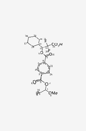 COC(OC(=O)c1ccc(C(=O)OC(C2CCCCC2)C(F)(F)C(=O)O)cc1)C(C)C